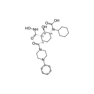 O=C(NO)[C@@H]1[C@@H](O)[C@H](N(C(=O)O)C2CCCCC2)CC[C@@H]1C(=O)N1CCN(c2ccccc2)CC1